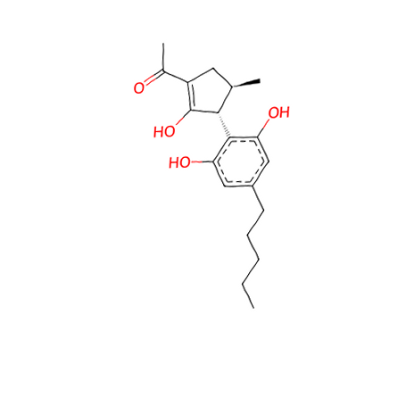 CCCCCc1cc(O)c([C@@H]2C(O)=C(C(C)=O)C[C@H]2C)c(O)c1